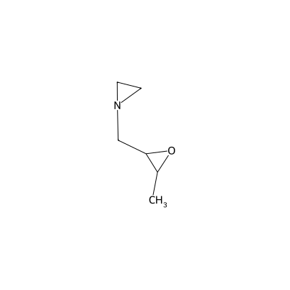 CC1OC1CN1CC1